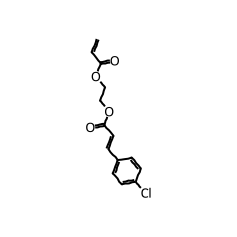 C=CC(=O)OCCOC(=O)/C=C/c1ccc(Cl)cc1